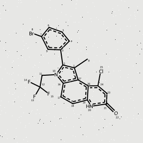 Cc1c(-c2cccc(Br)c2)n(CC(F)(F)F)c2ccc3[nH]c(=O)cc(Cl)c3c12